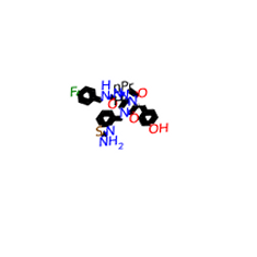 CCCN(C(=O)NCC1=CCC(F)C=C1)N1CC(=O)N2[C@@H](Cc3ccc(O)cc3)C(=O)N(Cc3cccc4sc(N)nc34)C[C@@H]21